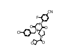 N#Cc1ccc(N2CC(=O)N(Cc3ccc(Cl)cc3)[C@@]3(CCN(C(=O)C4COC4)C3)C2=O)c(F)c1